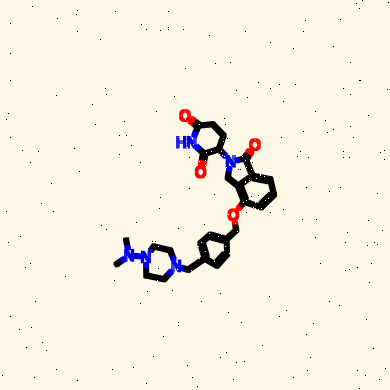 CN(C)N1CCN(Cc2ccc(COc3cccc4c3CN(C3CCC(=O)NC3=O)C4=O)cc2)CC1